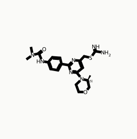 C[C@H]1COCCN1c1cc(CSC(=N)N)nc(-c2ccc(NC(=O)N(C)C)cc2)n1